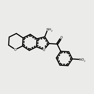 Nc1c(C(=O)c2cccc([N+](=O)[O-])c2)oc2cc3c(cc12)CCCO3